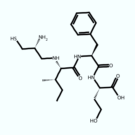 CC[C@H](C)[C@H](NC[C@@H](N)CS)C(=O)N[C@@H](Cc1ccccc1)C(=O)N[C@@H](CCO)C(=O)O